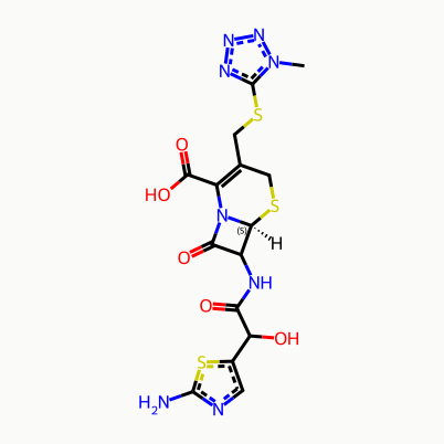 Cn1nnnc1SCC1=C(C(=O)O)N2C(=O)C(NC(=O)C(O)c3cnc(N)s3)[C@@H]2SC1